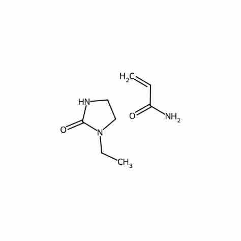 C=CC(N)=O.CCN1CCNC1=O